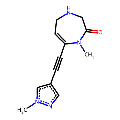 CN1C(=O)CNCC=C1C#Cc1cnn(C)c1